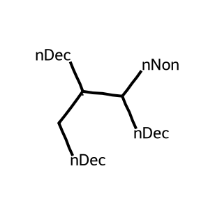 CCCCCCCCCCC[C](CCCCCCCCCC)C(CCCCCCCCC)CCCCCCCCCC